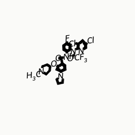 CN1CCC(Oc2cc(N3CCCC3)ccc2C(=O)Nc2ccc(F)cc2N(C(=O)C(F)(F)F)c2ncc(Cl)cc2Cl)CC1